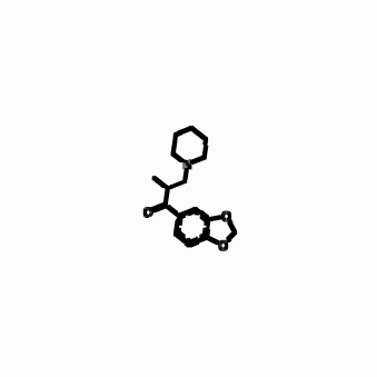 CC(CN1CCCCC1)C(=O)c1ccc2c(c1)OCO2